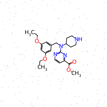 CCOc1cc(CN(c2nccc(C(=O)OC)n2)C2CCNCC2)cc(OCC)c1